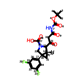 CC(C)(C)OC(=O)NC(=O)CC(=O)C1[C@@H]2C[C@]2(c2cc(F)cc(F)c2)CN1C(=O)O